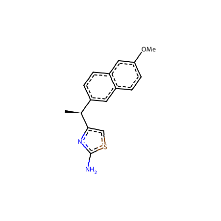 COc1ccc2cc([C@H](C)c3csc(N)n3)ccc2c1